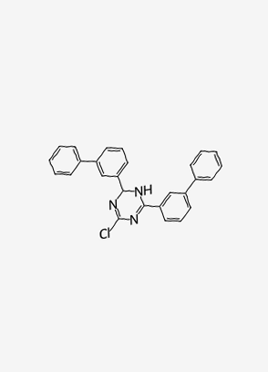 ClC1=NC(c2cccc(-c3ccccc3)c2)NC(c2cccc(-c3ccccc3)c2)=N1